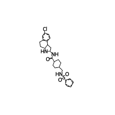 O=C(NC1CC2c3ccc(Cl)cc3CCC2N1)C1CCC(CNS(=O)(=O)c2ccccc2)CC1